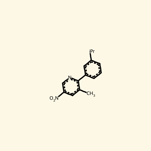 Cc1cc([N+](=O)[O-])cnc1-c1cccc(C(C)C)c1